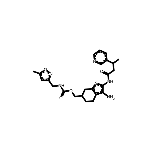 Cc1cc(CNC(=O)OCC2CCc3c(sc(NC(=O)CC(C)c4cccnc4)c3N)C2)no1